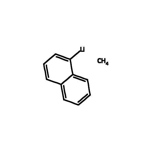 C.[Li][c]1cccc2ccccc12